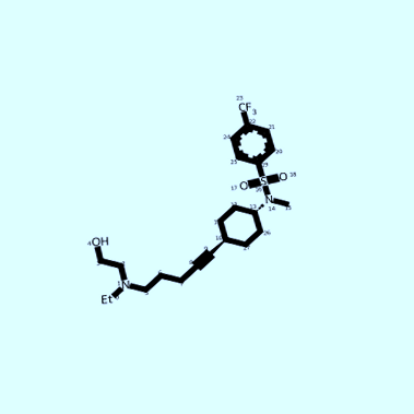 CCN(CCO)CCCC#C[C@H]1CC[C@H](N(C)S(=O)(=O)c2ccc(C(F)(F)F)cc2)CC1